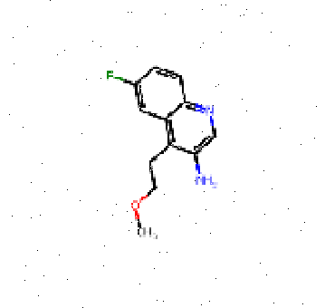 COCCc1c(N)cnc2ccc(F)cc12